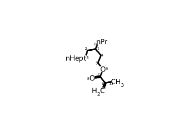 [CH2]CCC(CCCCCCCC)CCOC(=O)C(=C)C